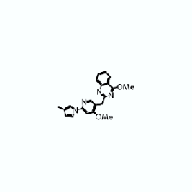 COc1cc(-n2ccc(C)c2)ncc1Cc1nc(OC)c2ccccc2n1